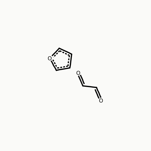 O=CC=O.c1ccoc1